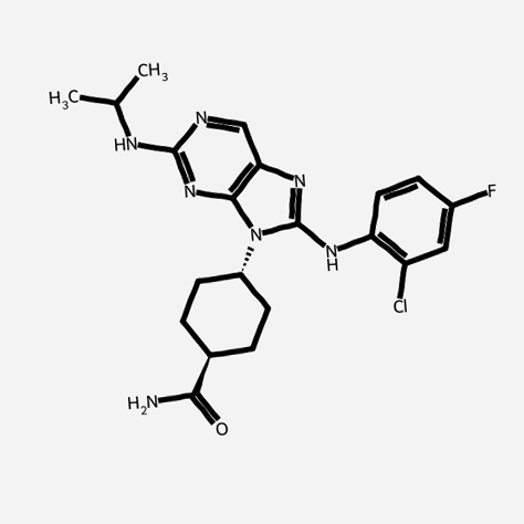 CC(C)Nc1ncc2nc(Nc3ccc(F)cc3Cl)n([C@H]3CC[C@H](C(N)=O)CC3)c2n1